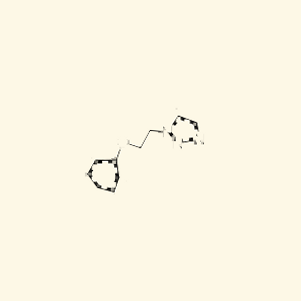 c1ccc(OCCn2ccnn2)cc1